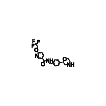 O=C(NCc1ccc(C2CNCCO2)cc1)c1ccc(OCC(F)(F)F)nc1